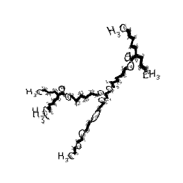 CCCCCCC(CCCC)C(=O)OCCCCCCOCC(COCCOCCOCCOCCC)OCCCCCCOC(=O)C(CCCC)CCCCCC